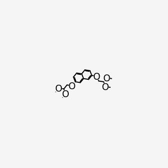 COC(COc1ccc2ccc(OCC(OC)OC)cc2c1)OC